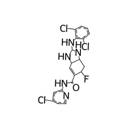 O=C(Nc1cc(Cl)ccn1)C1=CC2NC(Nc3c(Cl)cccc3Cl)NC2CC1F